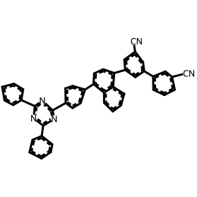 N#Cc1cccc(-c2cc(C#N)cc(-c3ccc(-c4ccc(-c5nc(-c6ccccc6)nc(-c6ccccc6)n5)cc4)c4ccccc34)c2)c1